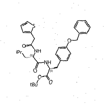 CC(C)C[C@H](NC(=O)Cc1cccs1)C(=O)N[C@@H](Cc1ccc(OCc2ccccc2)cc1)C(=O)OC(C)(C)C